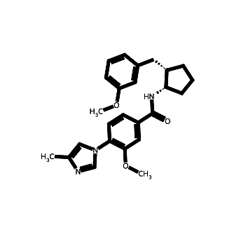 COc1cccc(C[C@@H]2CCC[C@@H]2NC(=O)c2ccc(-n3cnc(C)c3)c(OC)c2)c1